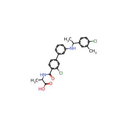 Cc1cc(C(C)Nc2cccc(-c3ccc(C(=O)NC(C)C(=O)O)c(Cl)c3)c2)ccc1Cl